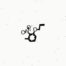 C=CCOc1cccc(C)c1[N+](=O)[O-]